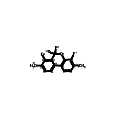 Cc1ccc2c(c1F)OC(F)(F)c1c-2ccc(C)c1F